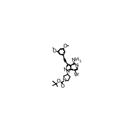 COc1cc(C#Cc2nn(C3CCN(C(=O)OC(C)(C)C)C3)c3c(Br)cnc(N)c23)cc(OC)c1